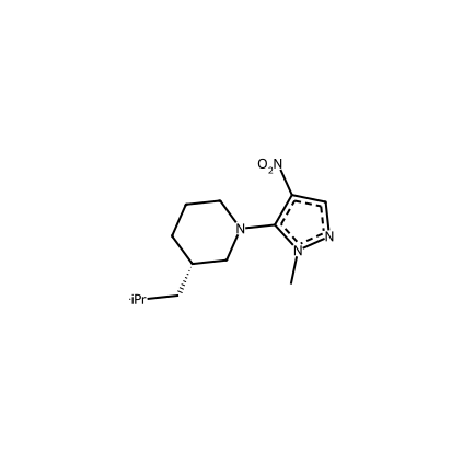 C[C](C)C[C@@H]1CCCN(c2c([N+](=O)[O-])cnn2C)C1